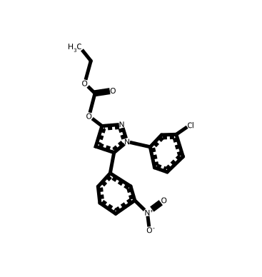 CCOC(=O)Oc1cc(-c2cccc([N+](=O)[O-])c2)n(-c2cccc(Cl)c2)n1